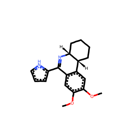 COc1cc2c(cc1OC)[C@H]1CCCC[C@H]1N=C2c1ccc[nH]1